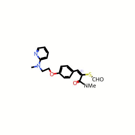 CNC(=O)/C(=C\c1ccc(OCCN(C)c2ccccn2)cc1)SC=O